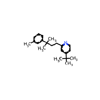 Cc1cccc(C(C)(C)CCc2cc(C(C)(C)C)ccn2)c1